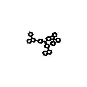 c1ccc(-c2cc(-c3ccc(N(c4ccc(-c5cccc6ccccc56)cc4)c4ccc5c(c4)C(c4ccccc4)(c4ccccc4)c4ccccc4-5)cc3)cc3ccccc23)cc1